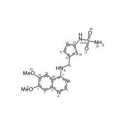 COc1cc2ncnc(NCc3ccc(NS(N)(=O)=O)s3)c2cc1OC